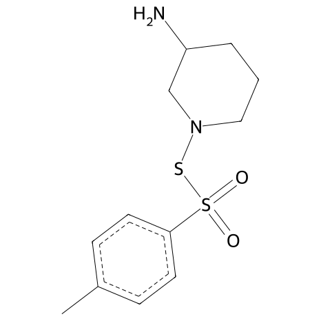 Cc1ccc(S(=O)(=O)SN2CCCC(N)C2)cc1